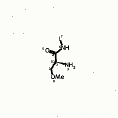 COC[C@H](N)C(=O)NI